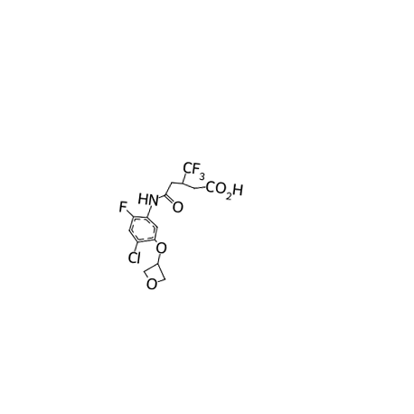 O=C(O)CC(CC(=O)Nc1cc(OC2COC2)c(Cl)cc1F)C(F)(F)F